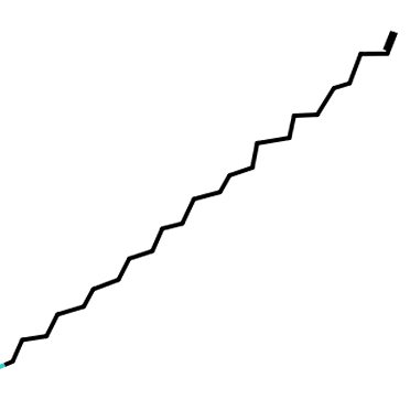 C=CCCCCCCCCCCCCCCCCCCCCCCF